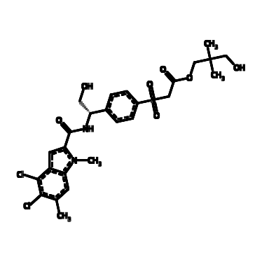 Cc1cc2c(cc(C(=O)N[C@H](CO)c3ccc(S(=O)(=O)CC(=O)OCC(C)(C)CO)cc3)n2C)c(Cl)c1Cl